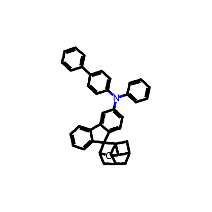 c1ccc(-c2ccc(N(c3ccccc3)c3ccc4c(c3)-c3ccccc3C43C4CC5CC6CC3(C5)C6C4)cc2)cc1